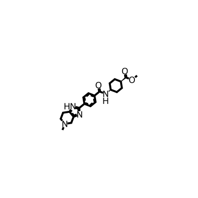 COC(=O)[C@H]1CC[C@H](NC(=O)c2ccc(-c3nc4c([nH]3)CCN(C)C4)cc2)CC1